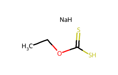 CCOC(=S)S.[NaH]